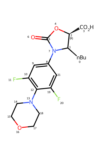 CCCCC1[C@H](C(=O)O)OC(=O)N1c1cc(F)c(N2CCOCC2)c(F)c1